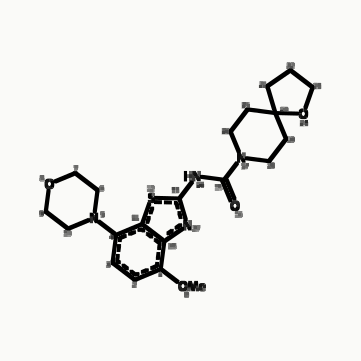 COc1ccc(N2CCOCC2)c2sc(NC(=O)N3CCC4(CCCO4)CC3)nc12